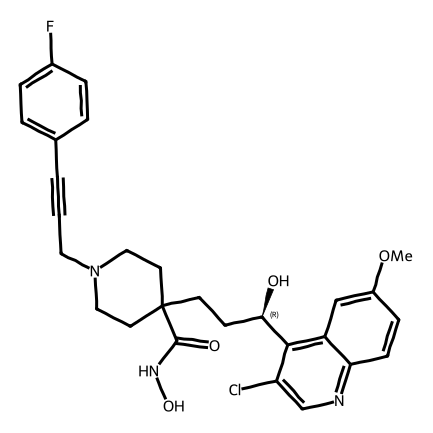 COc1ccc2ncc(Cl)c([C@H](O)CCC3(C(=O)NO)CCN(CC#Cc4ccc(F)cc4)CC3)c2c1